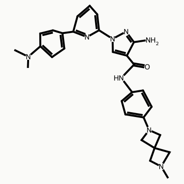 CN1CC2(C1)CN(c1ccc(NC(=O)c3cn(-c4cccc(-c5ccc(N(C)C)cc5)n4)nc3N)cc1)C2